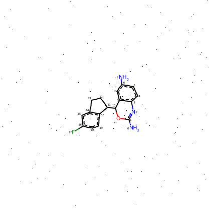 NC1=Nc2ccc(N)cc2C(C2CCc3cc(F)ccc32)O1